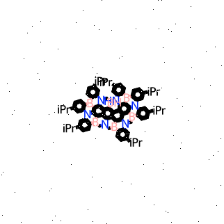 CC(C)c1ccc2c(c1)Nc1c3c4c5c6c7c8c9c%10c%11c%12c%13c%14c%15c%11c(c9c16)BCN%15c1cc(C(C)C)ccc1B%14c1ccc(C(C)C)cc1N%13c1cc(C(C)C)ccc1B%12CN%10CB8c1ccc(C(C)C)cc1N7CB5c1ccc(C(C)C)cc1N4c1cc(C(C)C)ccc1B23